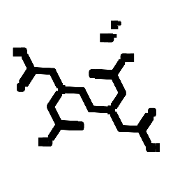 O=C(O)CN(CCN(CC(=O)O)CC(=O)O)CC(=O)O.[K+].[OH-]